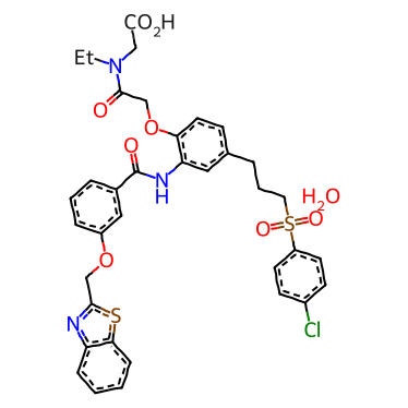 CCN(CC(=O)O)C(=O)COc1ccc(CCCS(=O)(=O)c2ccc(Cl)cc2)cc1NC(=O)c1cccc(OCc2nc3ccccc3s2)c1.O